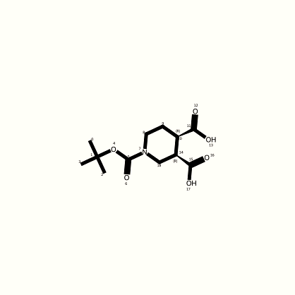 CC(C)(C)OC(=O)N1CC[C@@H](C(=O)O)[C@@H](C(=O)O)C1